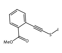 COC(=O)c1ccccc1C#CSI